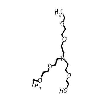 CCOCCOCCN(CCOCCO)CCOCCOCC